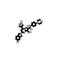 CC(C)c1c(C(=O)Nc2ccc(N3CCOCC3)cc2)nn2c(-c3cn[nH]c3)cc(N3Cc4ccc(Cl)cc4C3)nc12